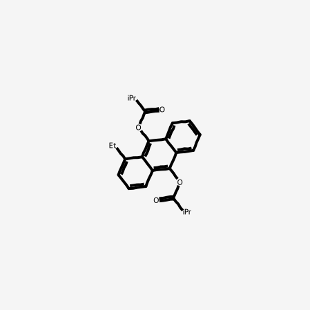 CCc1cccc2c(OC(=O)C(C)C)c3ccccc3c(OC(=O)C(C)C)c12